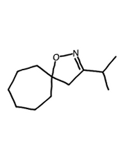 CC(C)C1=NOC2(CCCCCC2)C1